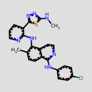 CNc1nnc(-c2cccnc2Nc2c(C)ccc3c(Nc4ccc(Cl)cc4)nccc23)s1